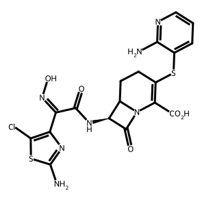 Nc1nc(/C(=N/O)C(=O)N[C@@H]2C(=O)N3C(C(=O)O)=C(Sc4cccnc4N)CCC23)c(Cl)s1